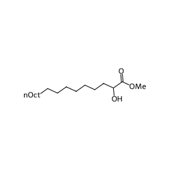 CCCCCCCCCCCCCCCC(O)C(=O)OC